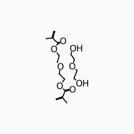 C=C(C)C(=O)OCCOCCOC(=O)C(=C)C.OCCOCCO